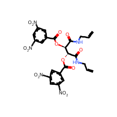 C=CCNC(=O)[C@H](OC(=O)c1cc([N+](=O)[O-])cc([N+](=O)[O-])c1)[C@@H](OC(=O)c1cc([N+](=O)[O-])cc([N+](=O)[O-])c1)C(=O)NCC=C